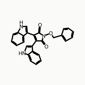 O=C1C(c2c[nH]c3ccccc23)=C(c2c[nH]c3ccccc23)C(=O)N1OCc1ccccc1